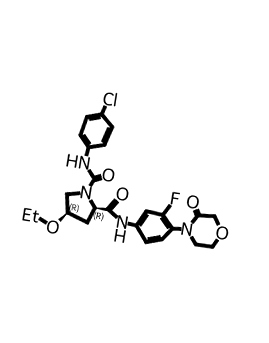 CCO[C@@H]1C[C@H](C(=O)Nc2ccc(N3CCOCC3=O)c(F)c2)N(C(=O)Nc2ccc(Cl)cc2)C1